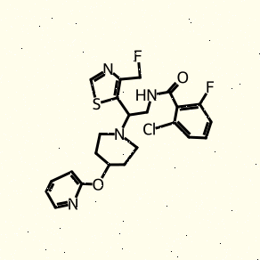 O=C(NCC(c1scnc1CF)N1CCC(Oc2ccccn2)CC1)c1c(F)cccc1Cl